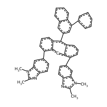 Cc1nc2ccc(-c3cccc4c(-c5cc(-c6ccccc6)c6ccccc6c5)c5cccc(-c6ccc7nc(C)n(C)c7c6)c5cc34)cc2n1C